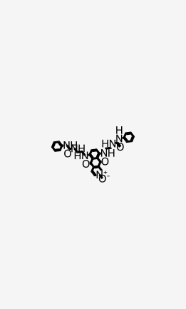 O=C(NCCNc1ccc(NCCNC(=O)Nc2ccccc2)c2c1C(=O)c1cc[n+]([O-])cc1C2=O)Nc1ccccc1